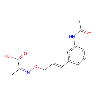 CC(=O)Nc1cccc(/C=C/CON=C(C)C(=O)O)c1